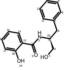 O=C(N[C@H](CO)Cc1ccccc1)c1ccccc1O